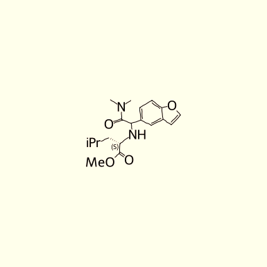 COC(=O)[C@H](CC(C)C)NC(C(=O)N(C)C)c1ccc2occc2c1